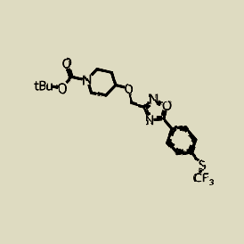 CC(C)(C)OC(=O)N1CCC(OCc2noc(-c3ccc(SC(F)(F)F)cc3)n2)CC1